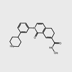 O=C(NO)C1=Cc2c(ccn(-c3cccc(C4CCNCC4)c3)c2=O)CC1